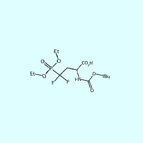 CCOP(=O)(OCC)C(F)(F)CC(NC(=O)OC(C)(C)C)C(=O)O